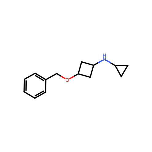 c1ccc(COC2CC(NC3CC3)C2)cc1